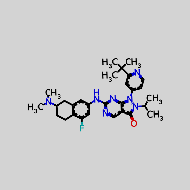 CC(C)n1c(=O)c2cnc(Nc3cc(F)c4c(c3)CC(N(C)C)CC4)nc2n1-c1ccnc(C(C)(C)C)c1